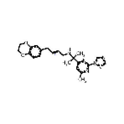 Cc1cc(C(C)(C)NC/C=C/Cc2ccc3c(c2)OCCO3)nc(-n2cncn2)n1